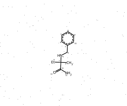 CCC(C)(NCc1ccccc1)C(N)=O